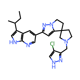 CCC(C)c1c[nH]c2ncc(-c3cc4n(n3)CCC43CCN(Cc4n[nH]cc4Cl)C3)cc12